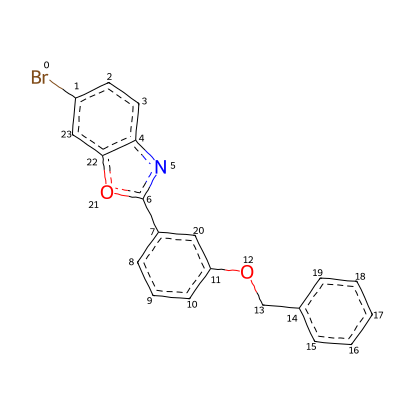 Brc1ccc2nc(-c3cccc(OCc4ccccc4)c3)oc2c1